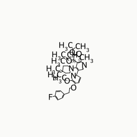 COc1nc(-c2cnc(C)c([C@H](OC(C)(C)C)C(=O)OC(C)C)c2N2CCC(C)(C)CC2)ccc1OCCc1ccc(F)cc1